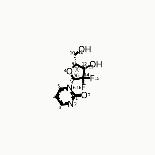 O=c1ncccn1[C@@H]1O[C@H](CO)[C@@H](O)C1(F)F